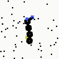 N#Cc1cc(-c2ccc(-c3ccc4c(c3)sc3ccccc34)cc2)ccn1